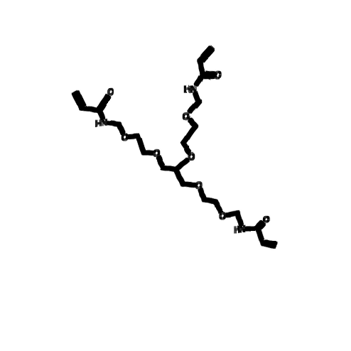 C=CC(=O)NCOCCOCC(COCCOCNC(=O)C=C)OCCOCNC(=O)C=C